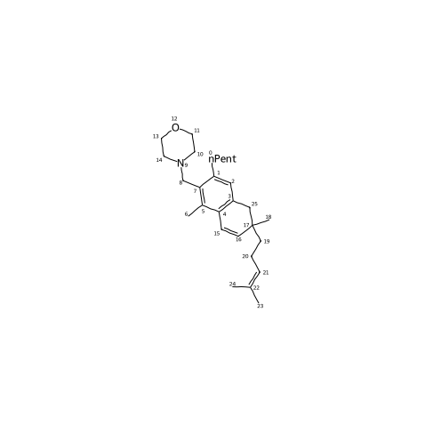 CCCCCc1cc2c(c(C)c1CN1CCOCC1)C=CC(C)(CCC=C(C)C)C2